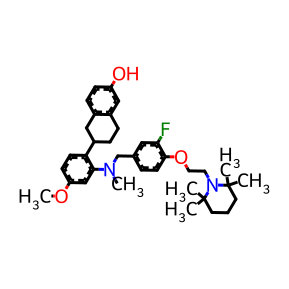 COc1ccc(C2CCc3cc(O)ccc3C2)c(N(C)Cc2ccc(OCCN3C(C)(C)CCCC3(C)C)c(F)c2)c1